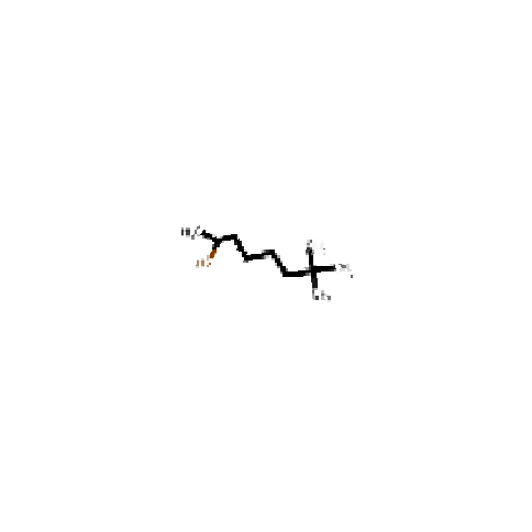 CC(S)CCCCC(C)(C)C(F)(F)F